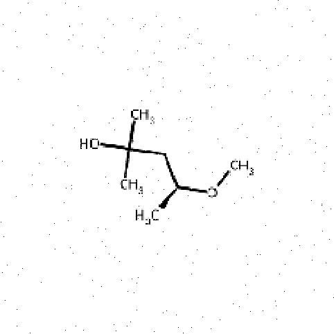 CO[C@@H](C)CC(C)(C)O